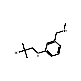 CNCc1cccc(NCC(C)(C)O)c1